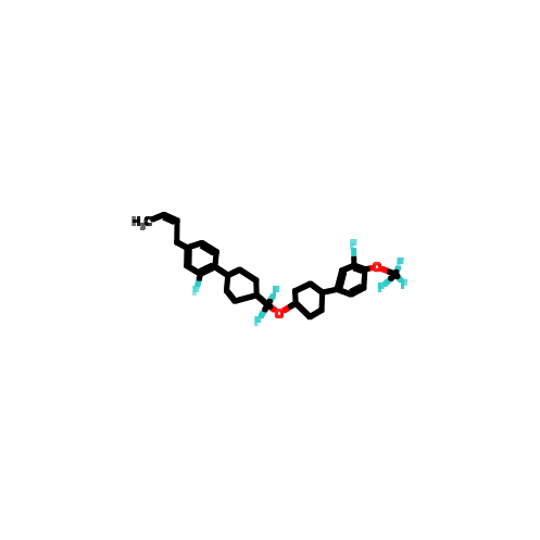 C/C=C\Cc1ccc(C2CCC(C(F)(F)OC3CCC(c4ccc(OC(F)(F)F)c(F)c4)CC3)CC2)c(F)c1